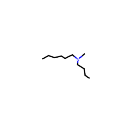 CCCCCCN(C)CCCC